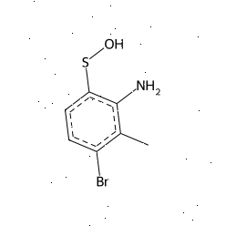 Cc1c(Br)ccc(SO)c1N